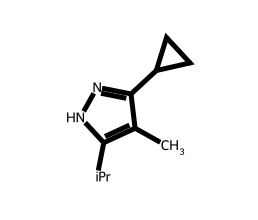 Cc1c(C2CC2)n[nH]c1C(C)C